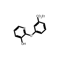 CCOC(=O)c1cccc(Oc2ncccc2O)c1